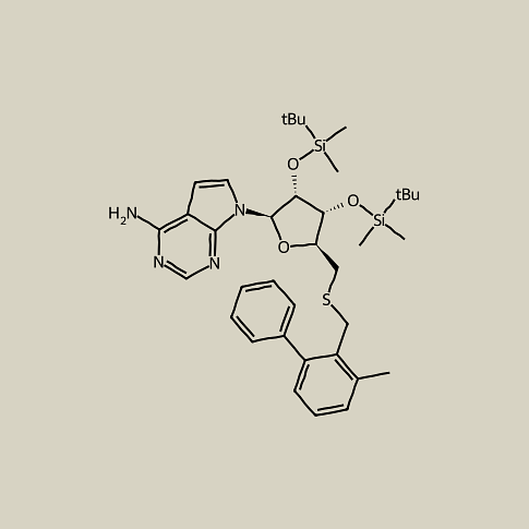 Cc1cccc(-c2ccccc2)c1CSC[C@H]1O[C@@H](n2ccc3c(N)ncnc32)[C@H](O[Si](C)(C)C(C)(C)C)[C@@H]1O[Si](C)(C)C(C)(C)C